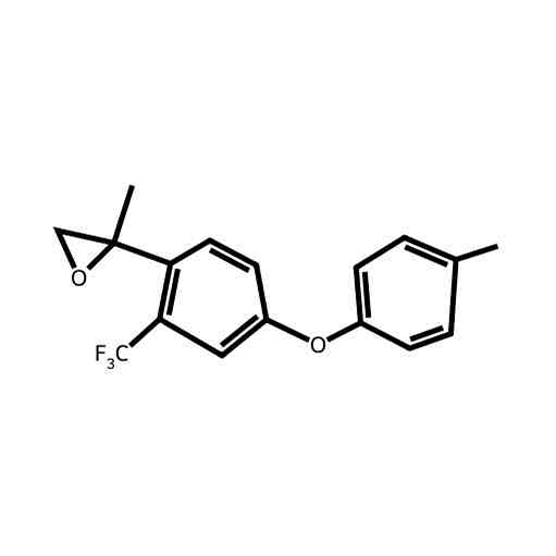 Cc1ccc(Oc2ccc(C3(C)CO3)c(C(F)(F)F)c2)cc1